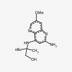 CCCCC(C)(CO)Nc1cc(N)nc2cc(OC)cnc12